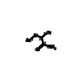 CC(=O)SC(C(N)=O)C(C)C